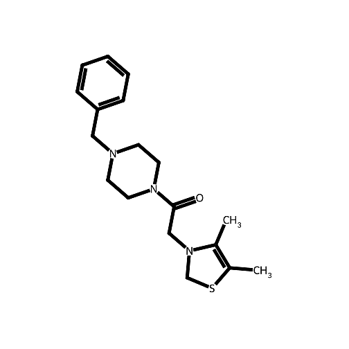 CC1=C(C)N(CC(=O)N2CCN(Cc3ccccc3)CC2)CS1